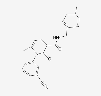 Cc1ccc(CNC(=O)c2ccc(C)n(-c3cccc(C#N)c3)c2=O)cc1